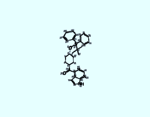 CC(C)(C)[Si](O[C@H]1CC[C@H](C(=O)c2ncnc3[nH]ccc23)CC1)(c1ccccc1)c1ccccc1